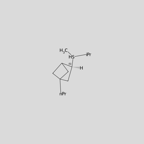 CCCC12CC(C1)[C@@H]([SH](C)C(C)C)C2